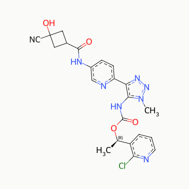 C[C@@H](OC(=O)Nc1c(-c2ccc(NC(=O)C3CC(O)(C#N)C3)cn2)nnn1C)c1cccnc1Cl